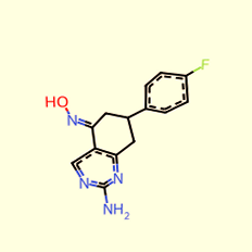 Nc1ncc2c(n1)CC(c1ccc(F)cc1)CC2=NO